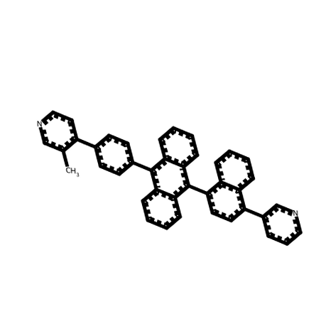 Cc1cnccc1-c1ccc(-c2c3ccccc3c(-c3ccc(-c4cccnc4)c4ccccc34)c3ccccc23)cc1